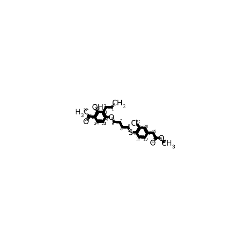 CCCc1c(OCCCCSc2ccc(CC(=O)OC)cc2Cl)ccc(C(C)=O)c1O